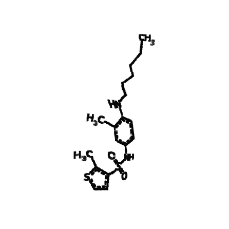 CCCCCCNc1ccc(NS(=O)(=O)c2ccsc2C)cc1C